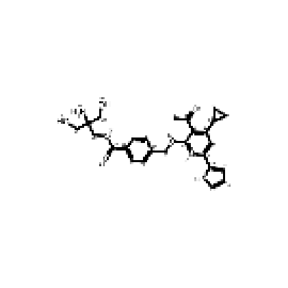 CC(=O)c1c(C2CC2)cc(-c2cccs2)nc1OCc1ccc(C(=O)OCC(N)(CO)CO)cc1